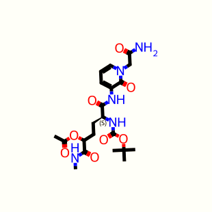 CNC(=O)C(CC[C@H](NC(=O)OC(C)(C)C)C(=O)Nc1cccn(CC(N)=O)c1=O)OC(C)=O